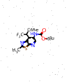 COC(c1c(NC(=O)OC(C)(C)C)cnc2sc(C)nc12)C(F)(F)F